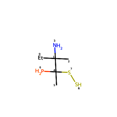 CCC(C)(N)C(C)(P)SS